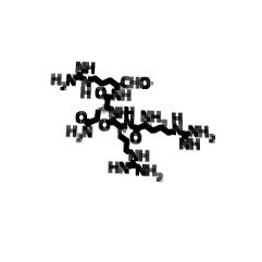 N=C(N)NCCC[C@@H](N)C(=O)N[C@H](CCCNC(=N)N)C(=O)N[C@H](CCC(N)=O)C(=O)N[C@@H]([C]=O)CCCNC(=N)N